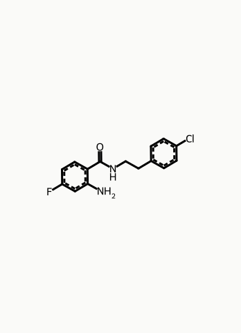 Nc1cc(F)ccc1C(=O)NCCc1ccc(Cl)cc1